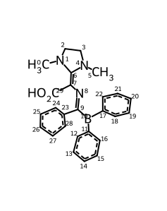 CN1CCN(C)C1=C(/N=C(/B(c1ccccc1)c1ccccc1)c1ccccc1)C(=O)O